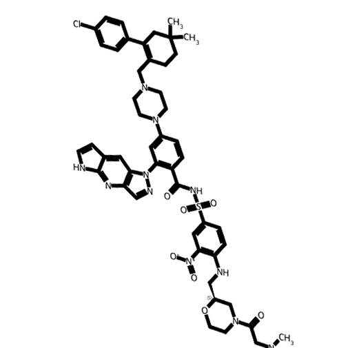 CN(C)CC(=O)N1CCO[C@@H](CNc2ccc(S(=O)(=O)NC(=O)c3ccc(N4CCN(CC5=C(c6ccc(Cl)cc6)CC(C)(C)CC5)CC4)cc3-n3ncc4nc5[nH]ccc5cc43)cc2[N+](=O)[O-])C1